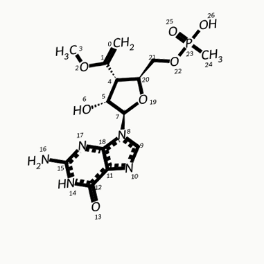 C=C(OC)[C@H]1[C@@H](O)[C@H](n2cnc3c(=O)[nH]c(N)nc32)O[C@@H]1COP(C)(=O)O